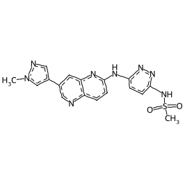 Cn1cc(-c2cnc3ccc(Nc4ccc(NS(C)(=O)=O)nn4)nc3c2)cn1